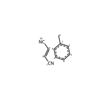 Cc1ccccc1.N#C/C=C/C#N